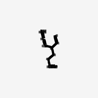 C=CC(CCOC)N=C=N